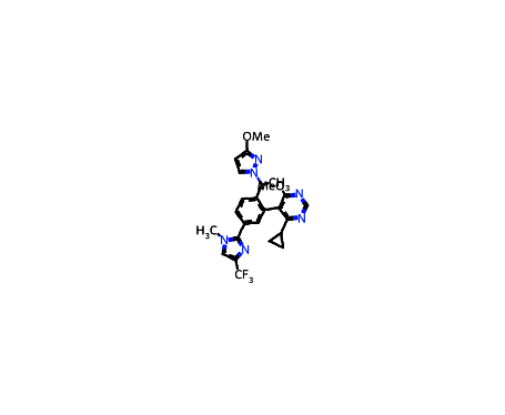 COc1ccn(C(C)c2ccc(-c3nc(C(F)(F)F)cn3C)cc2-c2c(OC)ncnc2C2CC2)n1